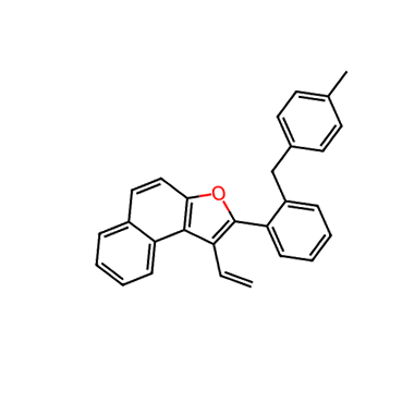 C=Cc1c(-c2ccccc2Cc2ccc(C)cc2)oc2ccc3ccccc3c12